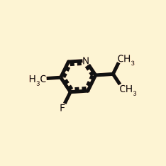 Cc1cnc(C(C)C)cc1F